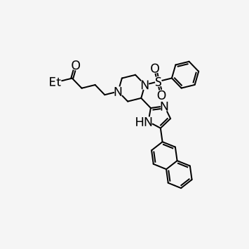 CCC(=O)CCCN1CCN(S(=O)(=O)c2ccccc2)C(c2ncc(-c3ccc4ccccc4c3)[nH]2)C1